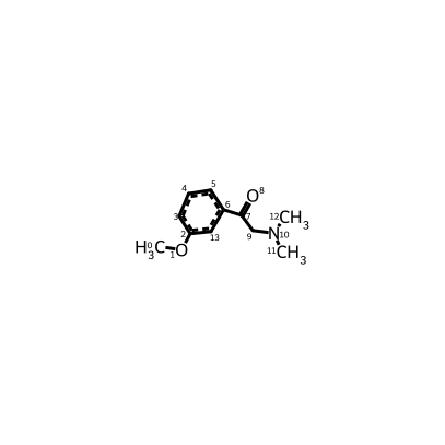 COc1cccc(C(=O)CN(C)C)c1